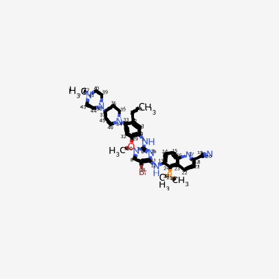 CCc1cc(Nc2ncc(Br)c(Nc3ccc4nc(C#N)ccc4c3P(C)C)n2)c(OC)cc1N1CCC(N2CCN(C)CC2)CC1